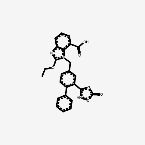 CCOc1nc2cccc(C(=O)O)c2n1Cc1ccc(-c2ccccc2)c(-c2nc(=O)o[nH]2)c1